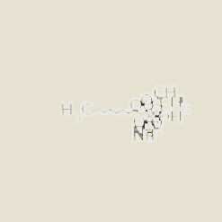 CCCCCCCCCCC(CCC(C)C)(C(=O)[O-])C(C(=O)[O-])S(=O)(=O)O.[Na+].[Na+]